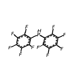 Fc1c(F)c(F)c(Pc2c(F)c(F)c(F)c(F)c2F)c(F)c1F